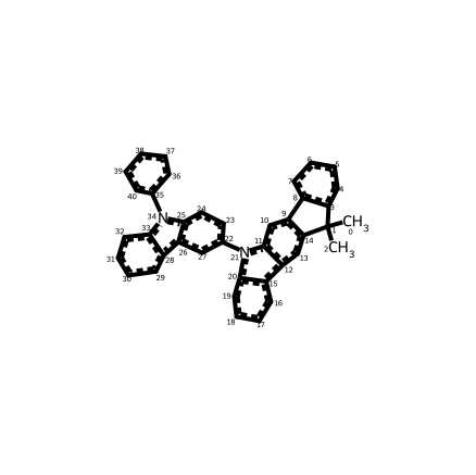 CC1(C)c2ccccc2-c2cc3c(cc21)c1ccccc1n3-c1ccc2c(c1)c1ccccc1n2-c1ccccc1